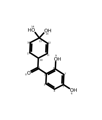 O=C(c1ccc(O)cc1O)C1C=CC(O)(O)C=C1